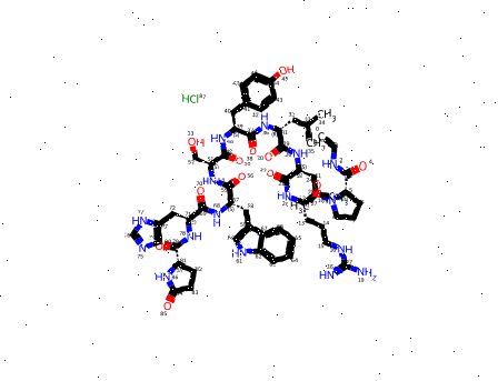 CCNC(=O)[C@@H]1CCCN1C(=O)[C@H](CCCNC(=N)N)NC(=O)[C@H](CC(C)C)NC(=O)[C@@H](CC(C)C)NC(=O)[C@H](Cc1ccc(O)cc1)NC(=O)[C@H](CO)NC(=O)[C@H](Cc1c[nH]c2ccccc12)NC(=O)[C@H](Cc1cnc[nH]1)NC(=O)[C@@H]1CCC(=O)N1.Cl